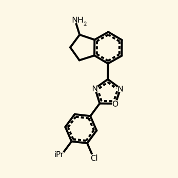 CC(C)c1ccc(-c2nc(-c3cccc4c3CCC4N)no2)cc1Cl